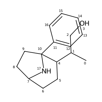 CC(CO)C1CCC2CCC1(c1ccccc1)N2